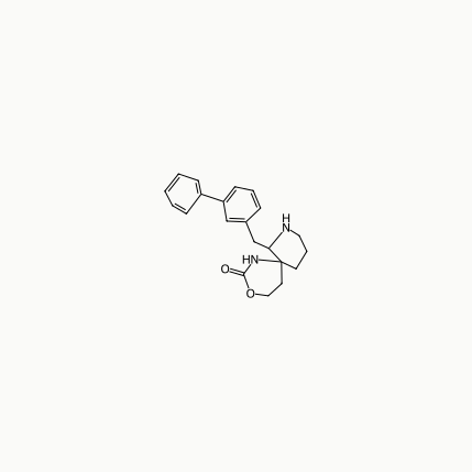 O=C1NC2(CCCNC2Cc2cccc(-c3ccccc3)c2)CCO1